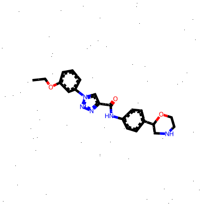 CCOc1cccc(-n2cc(C(=O)Nc3ccc(C4CNCCO4)cc3)nn2)c1